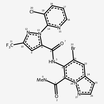 CNC(=O)c1c(NC(=O)c2cc(C(F)(F)F)nn2-c2ncccc2Cl)c(Br)cc2ccnn12